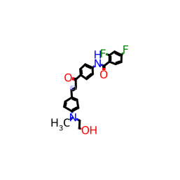 CN(CCO)c1ccc(/C=C/C(=O)c2ccc(NC(=O)c3ccc(F)cc3F)cc2)cc1